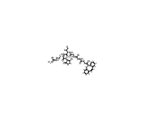 CCC(C)[C@H](NC(=O)CNC(=O)CNC(=O)CCC(=O)N1Cc2ccccc2C#Cc2ccccc21)C(=O)N[C@@H](CCCNC(N)=O)C(=O)ON1C(=O)CCC1=O